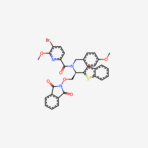 COc1ccc(CN(C(=O)c2ccc(Br)c(OC)n2)[C@H](CON2C(=O)c3ccccc3C2=O)c2cc3ccccc3s2)cc1